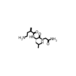 C=C(CCN)C(=O)N[C@@H](CC(C)C)C(=O)NCC(N)=O